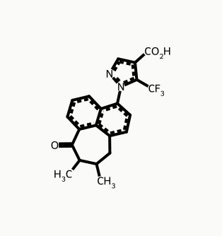 CC1Cc2ccc(-n3ncc(C(=O)O)c3C(F)(F)F)c3cccc(c23)C(=O)C1C